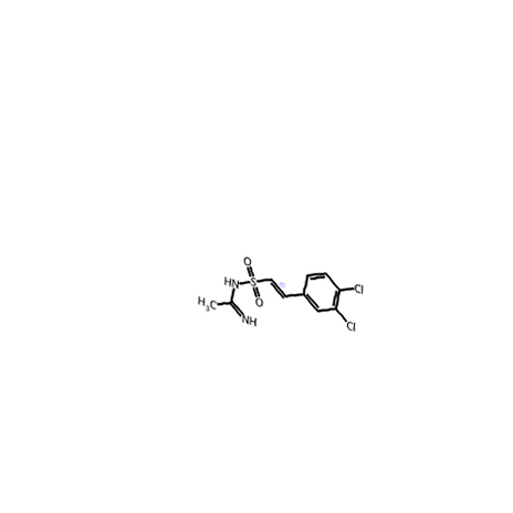 CC(=N)NS(=O)(=O)/C=C/c1ccc(Cl)c(Cl)c1